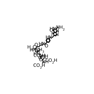 CC(C)(N[C@@H](CC(=O)O)C(=O)NCC(=O)N[C@@H](CC(=O)O)C(=O)NCC(=O)O)C(=O)CCCNC(=O)c1ccc(NCc2cnc3nc(N)[nH]c(=O)c3n2)cc1